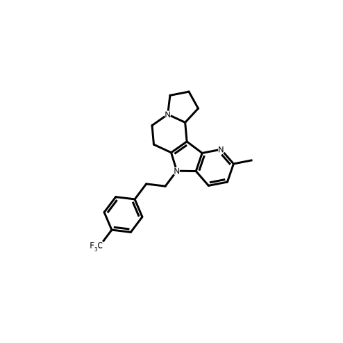 Cc1ccc2c(n1)c1c(n2CCc2ccc(C(F)(F)F)cc2)CCN2CCCC12